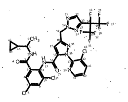 CC(NC(=O)c1cc(Cl)cc(Cl)c1NC(=O)c1cc(Cn2ncc(C(F)(C(F)(F)F)C(F)(F)F)n2)nn1-c1ncccc1Cl)C1CC1